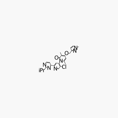 Cc1c(OCc2ccn(C)n2)cc(C)n(-c2cc(-c3ccnc(C(C)C)n3)ncc2Cl)c1=O